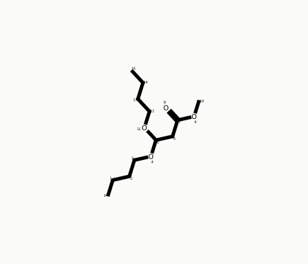 CCCCOC(CC(=O)OC)OCCCC